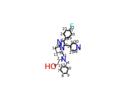 OCCN(Cc1ccccc1)CC1CCc2nc(-c3ccc(F)cc3)c(-c3ccncc3)n21